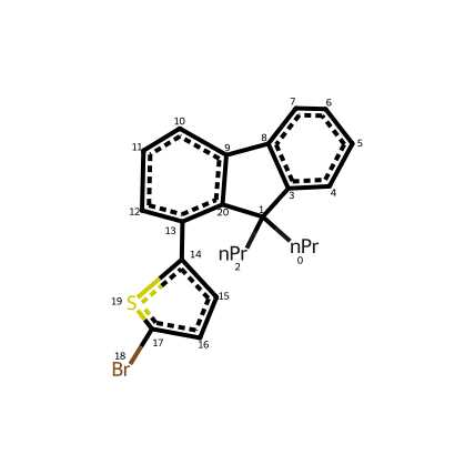 CCCC1(CCC)c2ccccc2-c2cccc(-c3ccc(Br)s3)c21